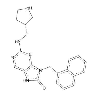 O=c1[nH]c2cnc(NC[C@@H]3CCNC3)nc2n1Cc1cccc2ccccc12